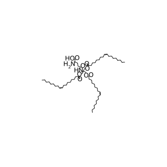 CCCCCCCC/C=C\CCCCCCCC(=O)OCC(COC(=O)CCCCCCC/C=C\CCCCCCCC)(COC(=O)CCCCCCC/C=C\CCCCCCCC)NC(=O)CC[C@H](N)C(=O)O